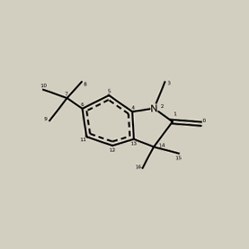 C=C1N(C)c2cc(C(C)(C)C)ccc2C1(C)C